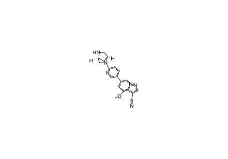 COc1cc(-c2ccc(N3C[C@@H]4C[C@H]3CN4)nc2)cn2ncc(C#N)c12